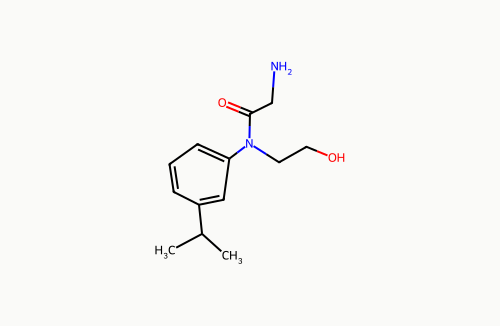 CC(C)c1cccc(N(CCO)C(=O)CN)c1